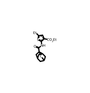 CCOC(=O)c1cc(CC)sc1NC(=O)C12CC3CC(CC1C3)C2